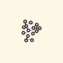 c1ccc(N(c2cc(-c3cc4c(c5ccccc35)c3ccccc3n4-c3ccccc3)cc(N(c3ccccc3)c3ccc4c(c3)c3ccccc3n4-c3ccccc3)c2)c2ccc3c(c2)C(c2ccccc2)(c2ccccc2)c2ccccc2-3)cc1